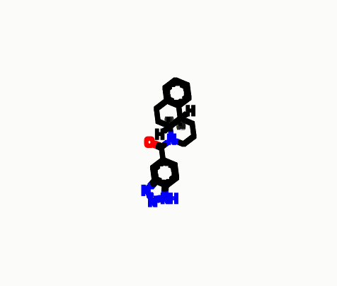 O=C(c1ccc2[nH]nnc2c1)N1CCC[C@H]2c3ccccc3CC[C@H]21